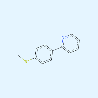 CSc1ccc(-c2[c]cccn2)cc1